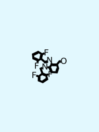 O=Cc1cccc2c1nc(-c1c(F)cccc1F)n2Cc1c(F)cccc1F